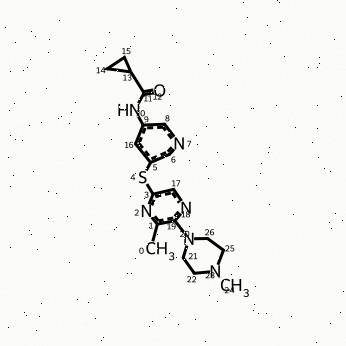 Cc1nc(Sc2cncc(NC(=O)C3CC3)c2)cnc1N1CCN(C)CC1